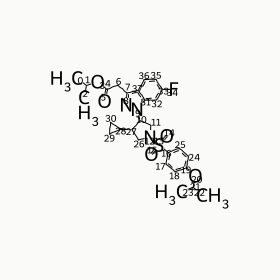 CC(C)OC(=O)Cc1nn([C@H]2CN(S(=O)(=O)c3ccc(OC(C)C)cc3)C[C@H]2C2CC2)c2cc(F)ccc12